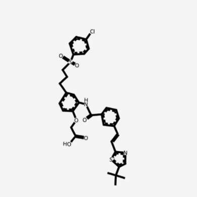 CC(C)(C)c1cnc(C=Cc2cccc(C(=O)Nc3cc(CCCS(=O)(=O)c4ccc(Cl)cc4)ccc3OCC(=O)O)c2)s1